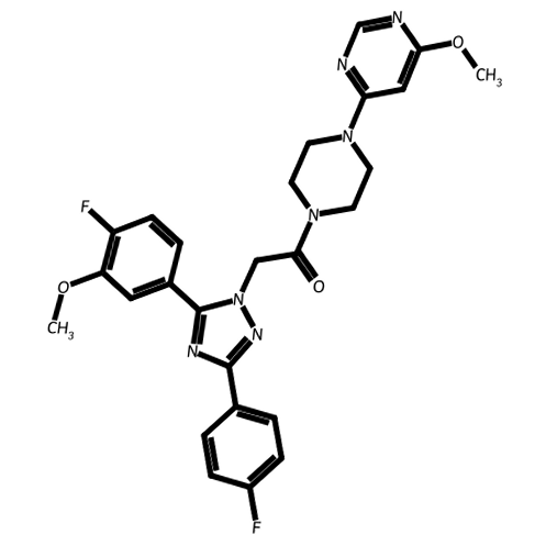 COc1cc(N2CCN(C(=O)Cn3nc(-c4ccc(F)cc4)nc3-c3ccc(F)c(OC)c3)CC2)ncn1